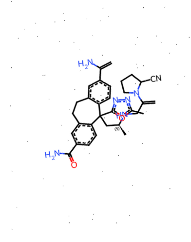 C=C(N)c1ccc2c(c1)CCc1cc(C(N)=O)ccc1C2(C[C@H](C)NCC(=C)N1CCCC1C#N)c1nnc(C)o1